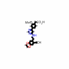 C#Cc1cc2c(cc1CCNc1cc(-c3ccc(CC(=O)O)c(OC)c3)ncn1)OCCO2